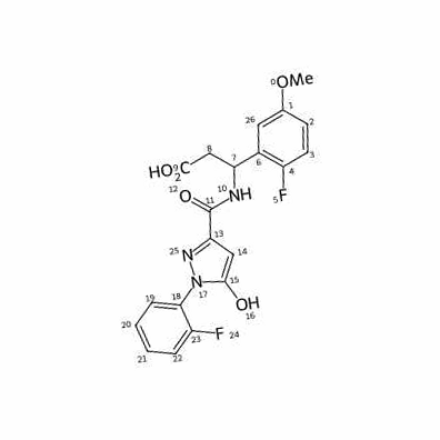 COc1ccc(F)c(C(CC(=O)O)NC(=O)c2cc(O)n(-c3ccccc3F)n2)c1